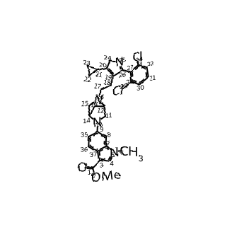 COC(=O)c1cn(C)c2cc(N3CC4CC3CN4CCC3=C(C4CC4)CN=C3c3c(Cl)cccc3Cl)ccc12